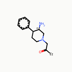 CCC(=O)CN1CCC(c2ccccc2)[C@@H](N)C1